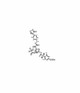 COc1cc(C)c(S(=O)(=O)N(C)Cc2nnc(C(=O)NCCc3ccc(C4=NCCN4)cc3)o2)c(C)c1.O=C(O)C(F)(F)F